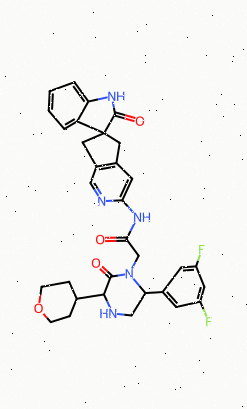 O=C(CN1C(=O)C(C2CCOCC2)NCC1c1cc(F)cc(F)c1)Nc1cc2c(cn1)CC1(C2)C(=O)Nc2ccccc21